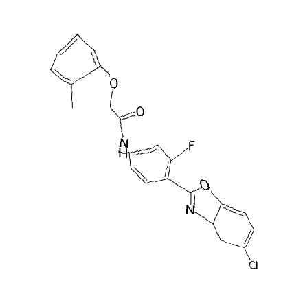 Cc1ccccc1OCC(=O)Nc1ccc(C2=NC3CC(Cl)=CC=C3O2)c(F)c1